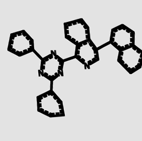 c1ccc(-c2nc(-c3ccccc3)nc(-c3ncc(-c4cccc5ccccc45)c4ccccc34)n2)cc1